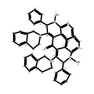 CCCN1c2ncccc2C(C(=O)C2=C(N3CCc4ccccc4C3)C(c3ccccc3)N(CCC)c3ncccc32)=C(N2CCc3ccccc3C2)C1c1ccccc1